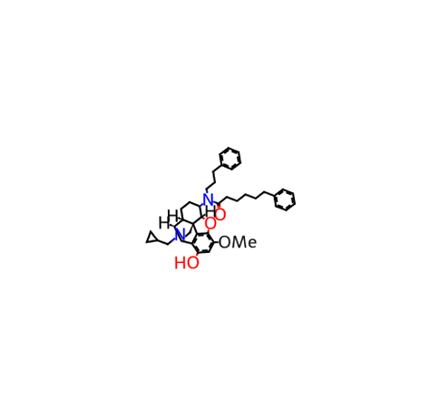 COc1cc(O)c2c3c1O[C@H]1[C@H](N(CCCc4ccccc4)C(=O)CCCCCc4ccccc4)CC[C@H]4[C@@H](C2)N(CC2CC2)CC[C@@]341